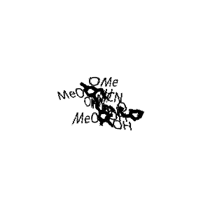 COc1c(C)c(OC)c2c(c1O)[C@H]1[C@@H]3Cc4c(OC)c(C)c(CO)c(O)c4[C@H](CNC(=O)Cc4ccccc4)N3[C@@H](C#N)[C@H](C2)N1C